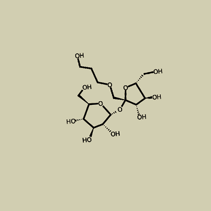 OCCCOC[C@@]1(O[C@H]2O[C@H](CO)[C@@H](O)[C@H](O)[C@H]2O)O[C@H](CO)[C@@H](O)[C@@H]1O